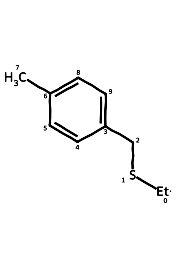 C[CH]SCc1ccc(C)cc1